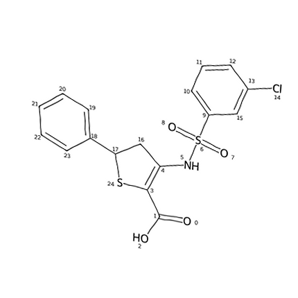 O=C(O)C1=C(NS(=O)(=O)c2cccc(Cl)c2)CC(c2ccccc2)S1